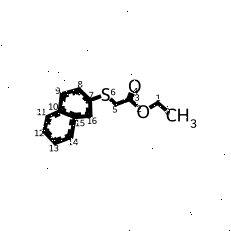 CCOC(=O)CSc1ccc2ccccc2c1